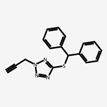 C#CCn1nnc(SC(c2ccccc2)c2ccccc2)n1